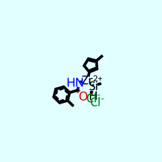 CC1=CC[C]([Zr+2]([NH]C(=O)c2ccccc2C)[SiH](C)C)=C1.[Cl-].[Cl-]